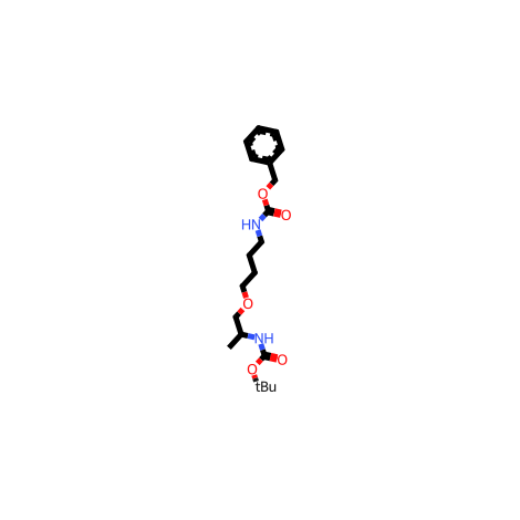 CC(COCCCCNC(=O)OCc1ccccc1)NC(=O)OC(C)(C)C